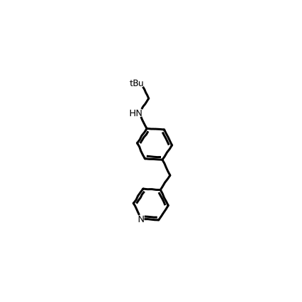 CC(C)(C)CNc1ccc(Cc2ccncc2)cc1